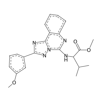 COC(=O)C(Nc1nc2ccccc2c2nc(-c3cccc(OC)c3)nn12)C(C)C